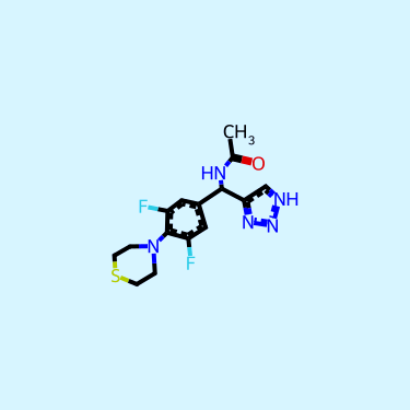 CC(=O)NC(c1cc(F)c(N2CCSCC2)c(F)c1)c1c[nH]nn1